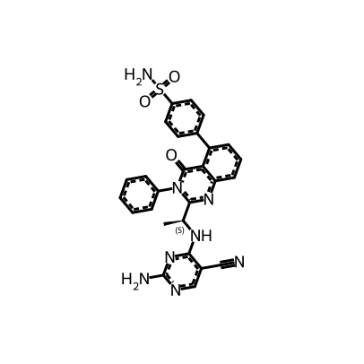 C[C@H](Nc1nc(N)ncc1C#N)c1nc2cccc(-c3ccc(S(N)(=O)=O)cc3)c2c(=O)n1-c1ccccc1